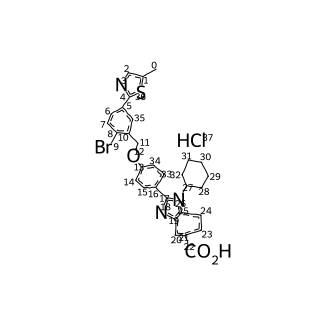 Cc1cnc(-c2ccc(Br)c(COc3ccc(-c4nc5cc(C(=O)O)ccc5n4C4CCCCC4)cc3)c2)s1.Cl